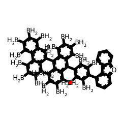 Bc1c(B)c(-c2cccc3oc4ccccc4c23)c(B)c(B)c1-c1c2c(B)c(B)c(B)c(B)c2c(-c2c(B)c3c(B)c(B)c(B)c(B)c3c3c(B)c(B)c(B)c(B)c23)c2c(B)c(B)c(B)c(B)c12